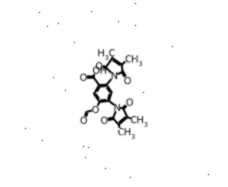 CC1=C(C)C(=O)N(c2cc(N3C(=O)C(C)=C(C)C3=O)c(C(=O)O)cc2OC=O)C1=O